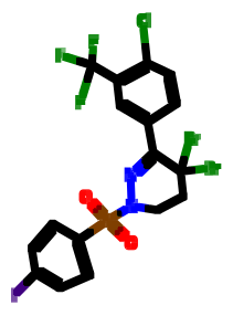 O=S(=O)(c1ccc(I)cc1)N1CCC(Br)(Br)C(c2ccc(Cl)c(C(F)(F)F)c2)=N1